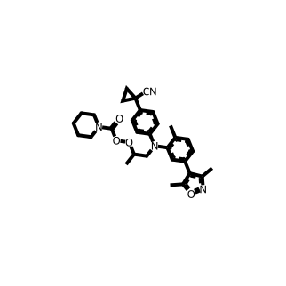 Cc1ccc(-c2c(C)noc2C)cc1N(CC(C)OOC(=O)N1CCCCC1)c1ccc(C2(C#N)CC2)cc1